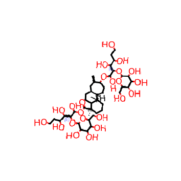 C=C1CC2CCC3[C@](C)(C(=O)OC(O)/C(OC4OC(CO)C(O)C(O)C4O)=C(\O)C(O)CCO)CCC[C@@]3(C)[C@@H]2CCC1OC(O)/C(OC1OC(CO)C(O)C(O)C1O)=C(\O)C(O)CCO